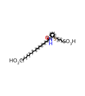 O=C(O)CCCCCCCCCCCCCCCCCC(=O)Nc1ccccc1SCCCCS(=O)(=O)O